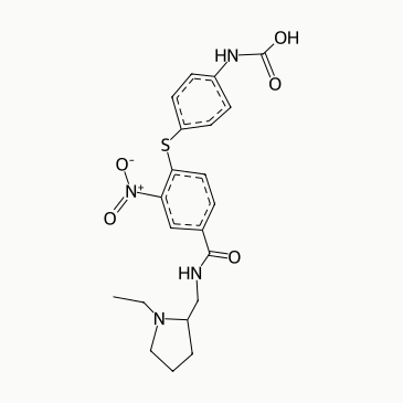 CCN1CCCC1CNC(=O)c1ccc(Sc2ccc(NC(=O)O)cc2)c([N+](=O)[O-])c1